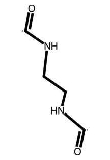 O=[C]NCCN[C]=O